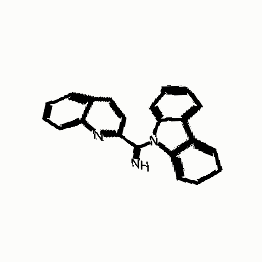 N=C(c1ccc2ccccc2n1)n1c2ccccc2c2ccccc21